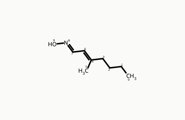 CCCC/C(C)=C/C=N/O